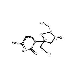 O=c1ccn([C@@]2(CO)C[C@H](O)[C@@H](CO)O2)c(=O)[nH]1